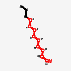 CCCOOOOOOOOO